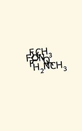 CCC(N)OC=Nc1cc(F)c(F)c(F)c1C